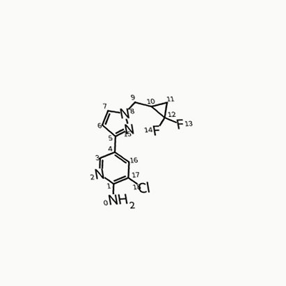 Nc1ncc(-c2ccn(CC3CC3(F)F)n2)cc1Cl